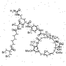 COc1cc2cc(c1Cl)N(C)C(=O)C[C@H](OC(=O)Nc1ccc(NC(=O)[C@H](CCCNC(N)=O)NC(=O)[C@@H](NC(=O)CCCCCOC(=O)C(CBr)CBr)C(C)C)c(Br)c1)[C@]1(C)O[C@H]1[C@H](C)[C@@H]1C[C@@](O)(NC(=O)O1)[C@H](OC)/C=C/C=C(\C)C2